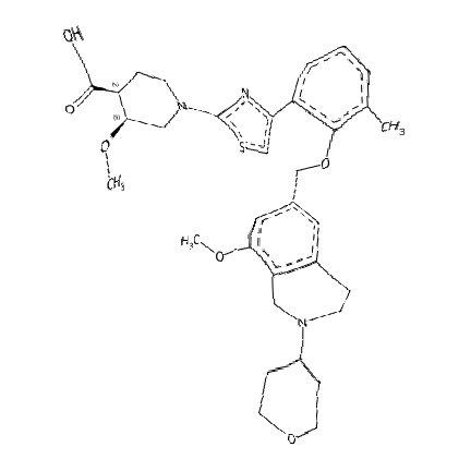 COc1cc(COc2c(C)cccc2-c2csc(N3CC[C@H](C(=O)O)[C@H](OC)C3)n2)cc2c1CN(C1CCOCC1)CC2